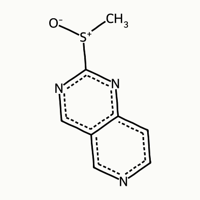 C[S+]([O-])c1ncc2cnccc2n1